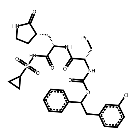 CC(C)C[C@H](NC(=O)OC(Cc1cccc(Cl)c1)c1ccccc1)C(=O)N[C@@H](C[C@@H]1CCNC1=O)C(=O)NS(=O)(=O)C1CC1